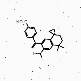 C=C(c1ccc(C(=O)O)cc1)c1cc2c(cc1C(F)F)C(C)(C)CCC21CC1